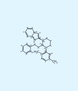 Cc1ccc(C)c([C@@H]2CCC[C@H](c3cn4ccccc4n3)N2CCc2ccccn2)n1